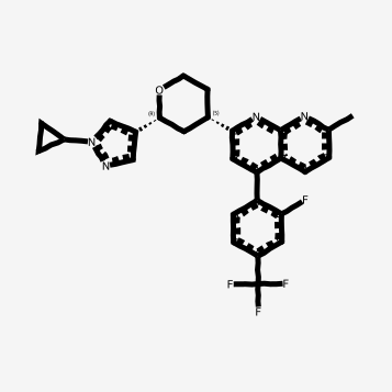 Cc1ccc2c(-c3ccc(C(F)(F)F)cc3F)cc([C@H]3CCO[C@@H](c4cnn(C5CC5)c4)C3)nc2n1